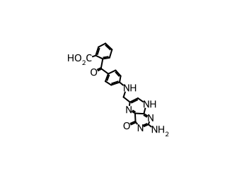 Nc1nc2[nH]cc(CNc3ccc(C(=O)c4ccccc4C(=O)O)cc3)nc-2c(=O)n1